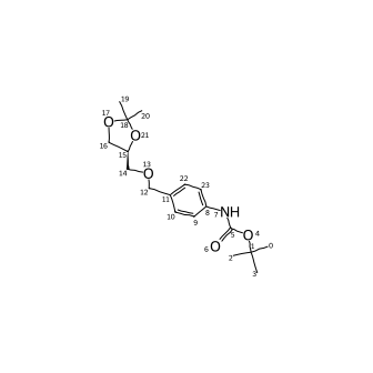 CC(C)(C)OC(=O)Nc1ccc(COC[C@H]2COC(C)(C)O2)cc1